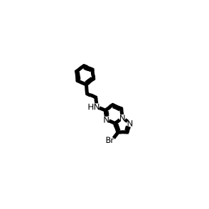 Brc1cnn2ccc(NCCc3ccccc3)nc12